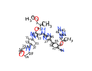 COCC(C)COc1nn(C2CCC(N3CCOCC3)CC2)cc1Nc1ncc(-c2ccc(C#N)c(OC(C)Cn3cncn3)c2)cn1